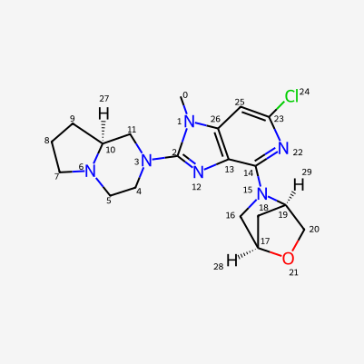 Cn1c(N2CCN3CCC[C@H]3C2)nc2c(N3C[C@H]4C[C@@H]3CO4)nc(Cl)cc21